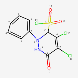 O=C1NN(c2ccccc2)C(S(=O)(=O)Cl)C(Cl)=C1Cl